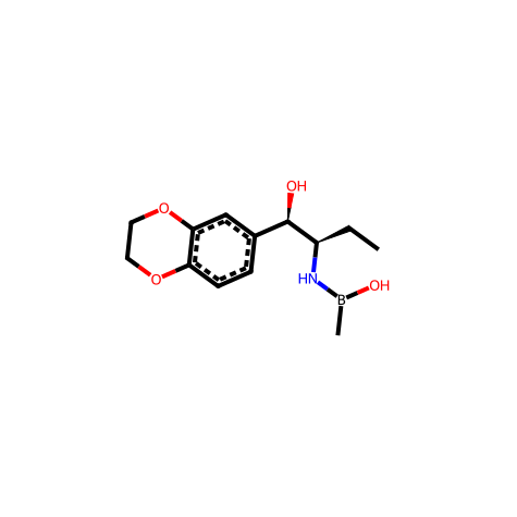 CC[C@@H](NB(C)O)[C@H](O)c1ccc2c(c1)OCCO2